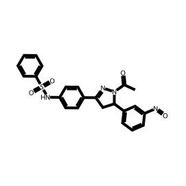 CC(=O)N1N=C(c2ccc(NS(=O)(=O)c3ccccc3)cc2)CC1c1cccc(N=O)c1